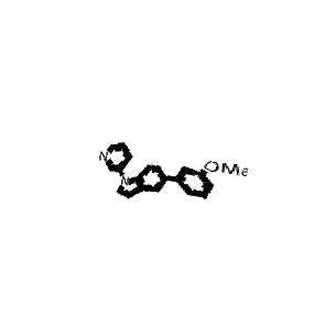 COc1cccc(-c2ccc3c(ccn3-c3cccnc3)c2)c1